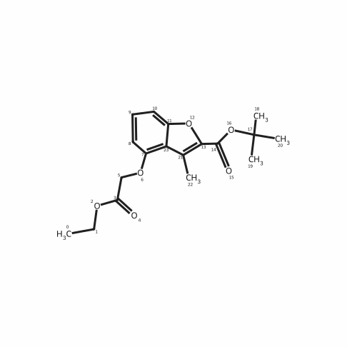 CCOC(=O)COc1cccc2oc(C(=O)OC(C)(C)C)c(C)c12